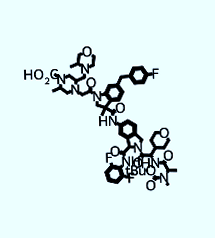 CC1COCCN1CC1CN(C(=O)O)C(C)CN1CC(=O)N1CC(C)(C(=O)Nc2ccc3c(c2)C(C(=O)Nc2c(F)cccc2F)N(C(=O)C(NC(=O)C(C)N(C)C(=O)OC(C)(C)C)C2CCOCC2)C3)c2ccc(Cc3ccc(F)cc3)cc21